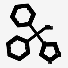 CC(C)(C)C(c1ccccc1)(c1ccccc1)n1cnnc1